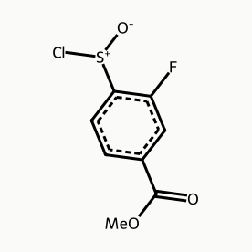 COC(=O)c1ccc([S+]([O-])Cl)c(F)c1